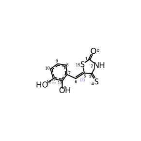 O=C1NC(=S)/C(=C/c2cccc(O)c2O)S1